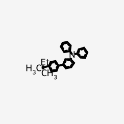 CCC(C)(C)c1ccc(-c2cccc(N(c3ccccc3)c3ccccc3)c2)cc1